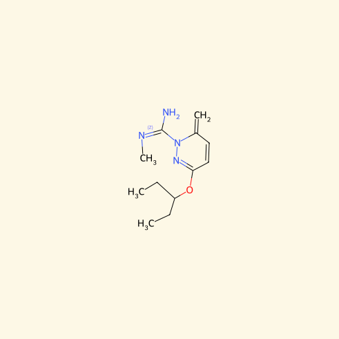 C=C1C=CC(OC(CC)CC)=NN1/C(N)=N\C